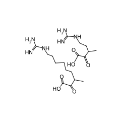 CC(CCCCCCNC(=N)N)C(=O)C(=O)O.CC(CCNC(=N)N)C(=O)C(=O)O